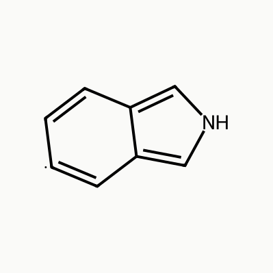 [c]1ccc2c[nH]cc2c1